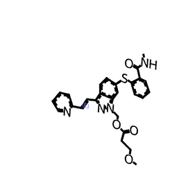 CNC(=O)c1ccccc1Sc1ccc2c(/C=C/c3ccccn3)nn(COC(=O)CCOC)c2c1